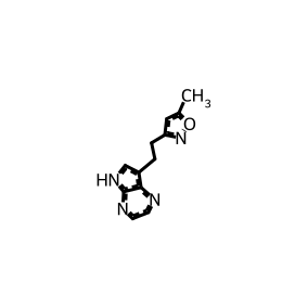 Cc1cc(CCc2c[nH]c3nccnc23)no1